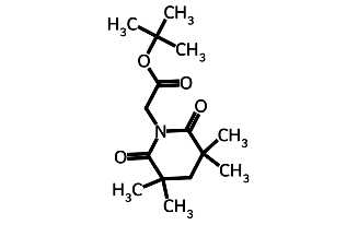 CC(C)(C)OC(=O)CN1C(=O)C(C)(C)CC(C)(C)C1=O